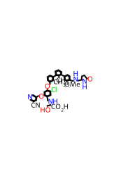 COc1cc(-c2cccc(-c3cccc(COc4cc(OCc5cncc(C#N)c5)c(CNC(CO)C(=O)O)cc4Cl)c3C)c2C)ccc1CNCC1CCC(=O)N1